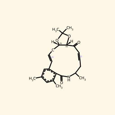 Cc1cc(C)c2c(c1)/C=C/C[C@@H]1OC(C)(C)O[C@@H]1C(=O)/C=C\CC(C)NC2=O